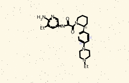 C=C(/C=C\C(=C/C)N1CCN(CC)CC1)[C@@H]1CCCCN1C(=O)C(=O)Nc1cnc(N)c(CC)c1